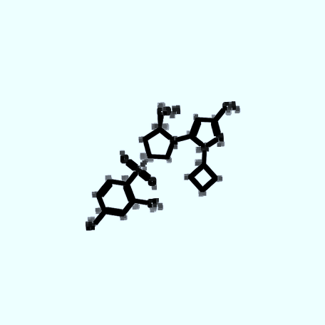 Cc1cc(N2C[C@H](S(=O)(=O)c3ccc(Br)cc3C(F)(F)F)C[C@H]2C(=O)O)n(C2CCC2)n1